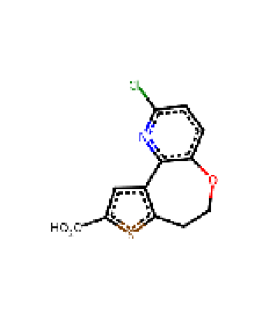 O=C(O)c1cc2c(s1)CCOc1ccc(Cl)nc1-2